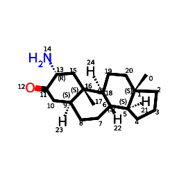 C[C@@]12CCC[C@H]1[C@@H]1CC[C@H]3CC(=O)[C@H](N)C[C@]3(C)[C@H]1CC2